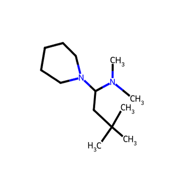 CN(C)C(CC(C)(C)C)N1CCCCC1